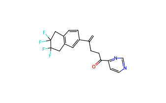 C=C(CCC(=O)c1ccncn1)c1ccc2c(c1)CC(F)(F)C(F)(F)C2